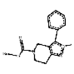 Cn1nc2c(c1-c1ccccc1)CN(C(=O)OC(C)(C)C)CC2